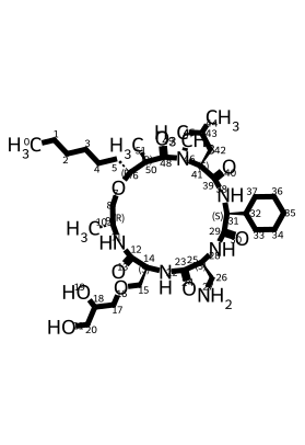 CCCCCC[C@H]1OC[C@@H](C)NC(=O)[C@H](COCC(O)CO)NC(=O)[C@H](CN)NC(=O)[C@H](C2CCCCC2)NC(=O)[C@H](CC(C)C)N(C)C(=O)[C@@H]1C